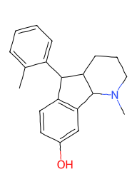 Cc1ccccc1C1c2ccc(O)cc2C2C1CCCN2C